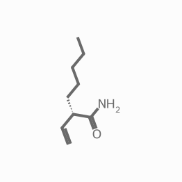 C=C[C@H](CCCCC)C(N)=O